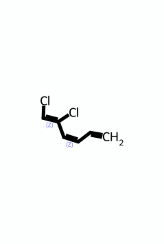 C=C/C=C\C(Cl)=C\Cl